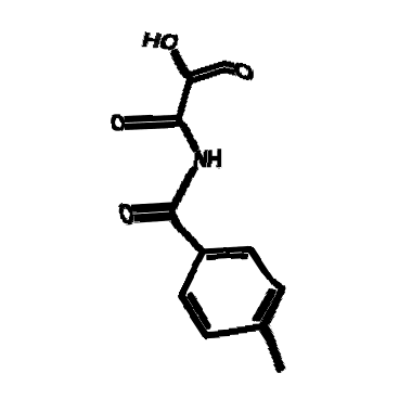 Cc1ccc(C(=O)NC(=O)C(=O)O)cc1